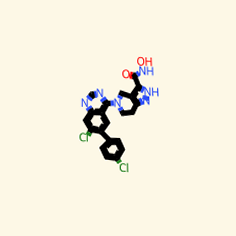 O=C(NO)c1[nH]nc2c1CN(c1ncnc3cc(Cl)c(-c4ccc(Cl)cc4)cc13)CC2